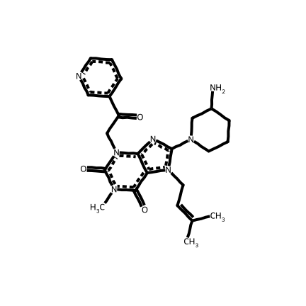 CC(C)=CCn1c(N2CCCC(N)C2)nc2c1c(=O)n(C)c(=O)n2CC(=O)c1cccnc1